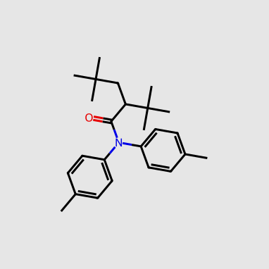 Cc1ccc(N(C(=O)C(CC(C)(C)C)C(C)(C)C)c2ccc(C)cc2)cc1